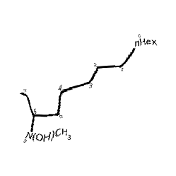 CCCCCCCCCCCC(C)N(C)O